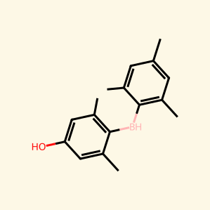 Cc1cc(C)c(Bc2c(C)cc(O)cc2C)c(C)c1